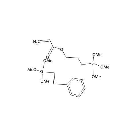 C=CC(=O)OCCC[Si](OC)(OC)OC.CO[Si](C=Cc1ccccc1)(OC)OC